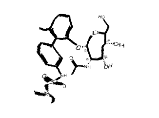 CC(=O)N[C@@H]1[C@H](Oc2cccc(C)c2-c2cccc(NS(=O)(=O)N(C)C)c2)OC(CO)[C@H](O)[C@@H]1O